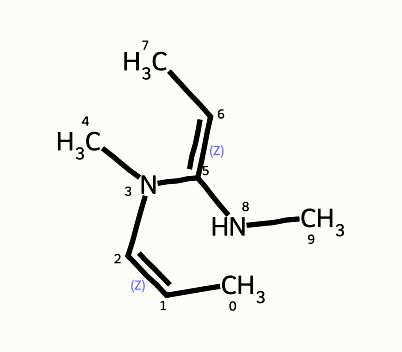 C/C=C\N(C)/C(=C\C)NC